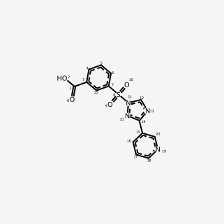 O=C(O)c1cccc(S(=O)(=O)n2cnc(-c3cccnc3)n2)c1